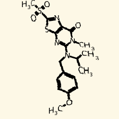 COc1ccc(CN(c2nc3sc(S(C)(=O)=O)nc3c(=O)n2C)C(C)C)cc1